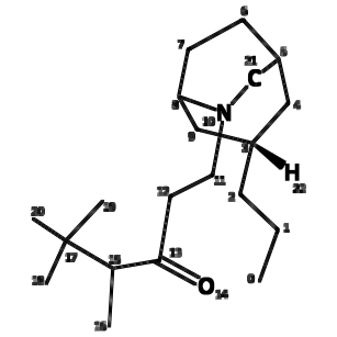 CCC[C@H]1CC2CCC(C1)N(CCC(=O)C(C)C(C)(C)C)C2